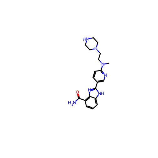 CN(CCN1CCNCC1)c1ccc(-c2nc3c(C(N)=O)cccc3[nH]2)cn1